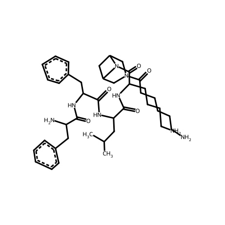 CC(C)CC(NC(=O)C(Cc1ccccc1)NC(=O)C(N)Cc1ccccc1)C(=O)NC(CCCCN)C(=O)N1C2CC1CN(C(=O)CCCCCN)C2